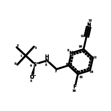 CC(C)(C)[S@+]([O-])NCc1nc(C#N)ccc1F